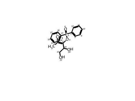 CC(C)=C(OP(=O)(c1ccccc1)c1ccccc1)C(O)CO